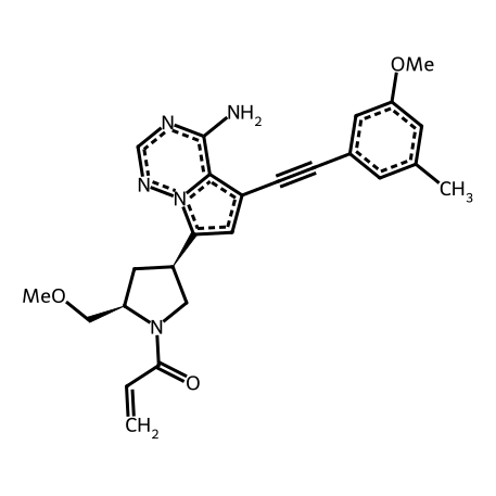 C=CC(=O)N1C[C@H](c2cc(C#Cc3cc(C)cc(OC)c3)c3c(N)ncnn23)C[C@@H]1COC